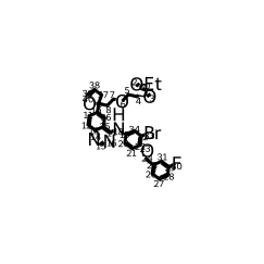 CCS(=O)(=O)CCOCCC1(c2ccc3ncnc(Nc4ccc(OCc5cccc(F)c5)c(Br)c4)c3c2)CC=CO1